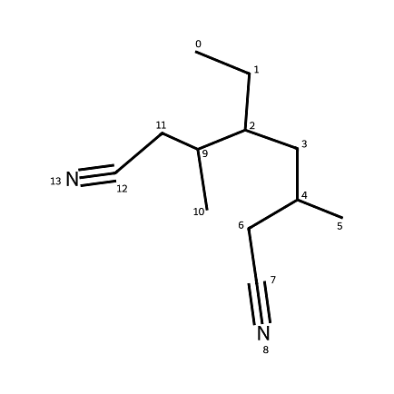 CCC(CC(C)CC#N)C(C)CC#N